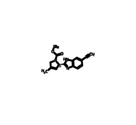 C#Cc1ccc2nc([C@@H]3C=C(C)CN3C(=O)OC(C)(C)C)[nH]c2c1